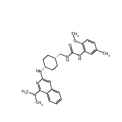 COc1ccc(C)cc1NC(=O)NC[C@H]1CC[C@@H](Nc2nc(N(C)C)c3ccccc3n2)CC1